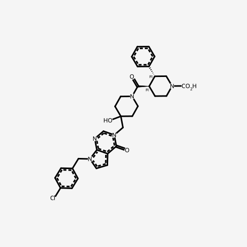 O=C(O)N1CC[C@@H](C(=O)N2CCC(O)(Cn3cnc4c(ccn4Cc4ccc(Cl)cc4)c3=O)CC2)[C@H](c2ccccc2)C1